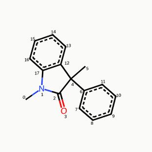 CN1C(=O)C(C)(c2ccccc2)c2ccccc21